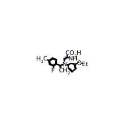 C=C(c1ccc(C)cc1F)N(/C=C(\N)C(=O)O)C1C=CC=C(OCC)C1